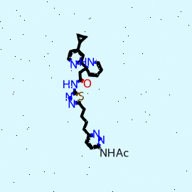 CC(=O)Nc1ccc(CCCCc2nnc(NC(=O)CC3(c4cc(C5CC5)ccn4)C=CC=CN3)s2)nn1